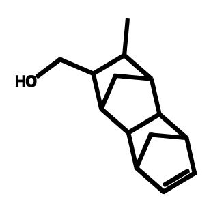 CC1C(CO)C2CC1C1C3C=CC(C3)C21